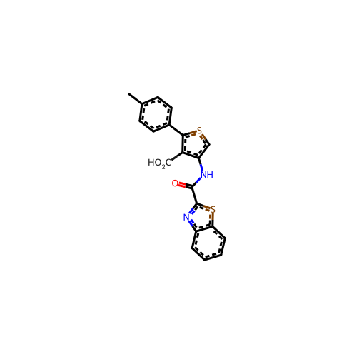 Cc1ccc(-c2scc(NC(=O)c3nc4ccccc4s3)c2C(=O)O)cc1